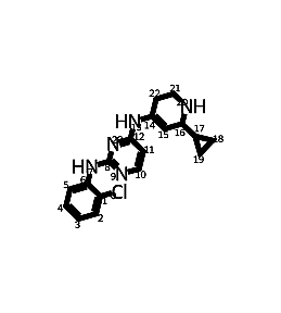 Clc1ccccc1Nc1nccc(NC2=CC(C3CC3)NCC2)n1